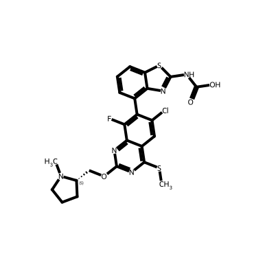 CSc1nc(OC[C@@H]2CCCN2C)nc2c(F)c(-c3cccc4sc(NC(=O)O)nc34)c(Cl)cc12